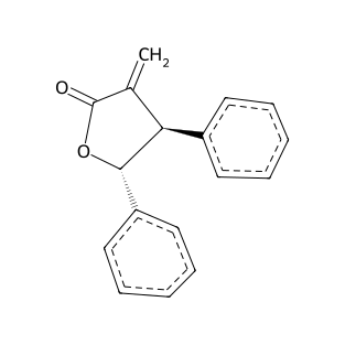 C=C1C(=O)O[C@@H](c2ccccc2)[C@@H]1c1ccccc1